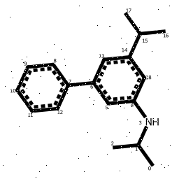 CC(C)Nc1cc(-c2ccccc2)cc(C(C)C)c1